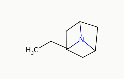 CCCN1C2CCCC1C2